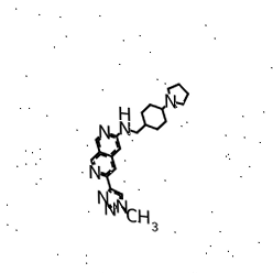 Cn1cc(-c2cc3cc(NCC4CCC(N5CCCC5)CC4)ncc3cn2)nn1